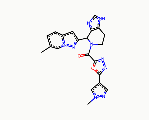 Cc1ccc2cc(C3c4nc[nH]c4CCN3C(=O)c3nnc(-c4cnn(C)c4)o3)nn2c1